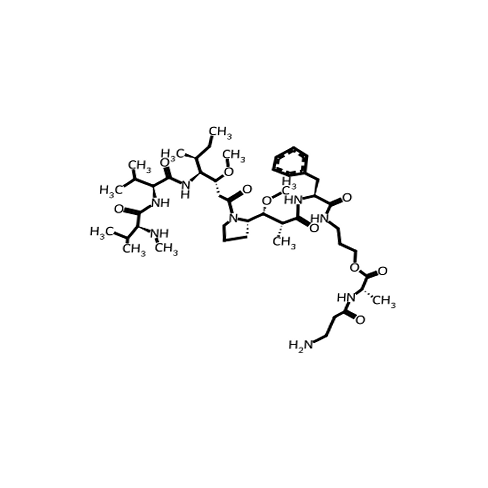 CC[C@H](C)[C@H](NC(=O)[C@@H](NC(=O)[C@@H](NC)C(C)C)C(C)C)[C@@H](CC(=O)N1CCC[C@H]1[C@H](OC)[C@@H](C)C(=O)N[C@@H](Cc1ccccc1)C(=O)NCCCOC(=O)[C@H](C)NC(=O)CCN)OC